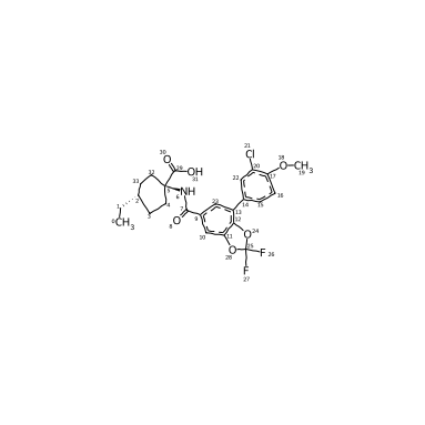 CC[C@H]1CC[C@@](NC(=O)c2cc3c(c(-c4ccc(OC)c(Cl)c4)c2)OC(F)(F)O3)(C(=O)O)CC1